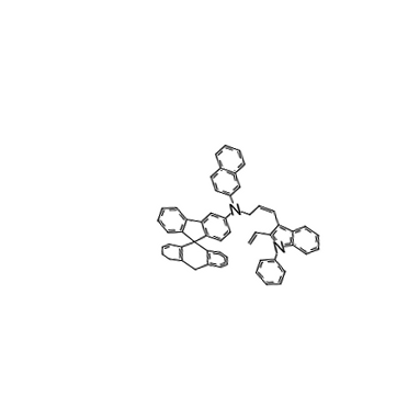 C=Cc1c(/C=C\CN(c2ccc3c(c2)-c2ccccc2C32C3=C(CCC=C3)Cc3ccccc32)c2ccc3ccccc3c2)c2ccccc2n1-c1ccccc1